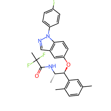 Cc1ccc(C)c([C@H](Oc2ccc3c(cnn3-c3ccc(F)cc3)c2)[C@H](C)NC(=O)C(C)(F)F)c1